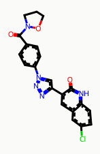 O=C(c1ccc(-n2cc(-c3cc4cc(Cl)ccc4[nH]c3=O)nn2)cc1)N1CCCO1